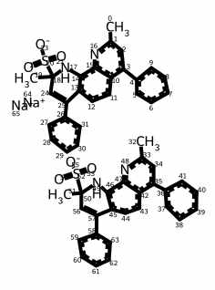 Cc1cc(-c2ccccc2)c2ccc3c(c2n1)NC(C)(S(=O)(=O)[O-])C=C3c1ccccc1.Cc1cc(-c2ccccc2)c2ccc3c(c2n1)NC(C)(S(=O)(=O)[O-])C=C3c1ccccc1.[Na+].[Na+]